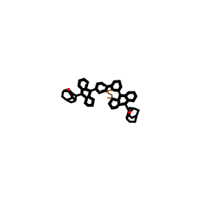 c1ccc2c(C3CC4CCC5CC4CC3C5)c3ccccc3c(-c3cccc4c3sc3cc(-c5c6ccccc6c(C6C7CC8CC(C7)CC6C8)c6ccccc56)ccc34)c2c1